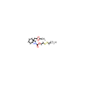 CC1OC(CC2(CNC(=O)OCCSSCC(=O)O)CCCCC2)O1